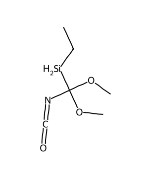 CC[SiH2]C(N=C=O)(OC)OC